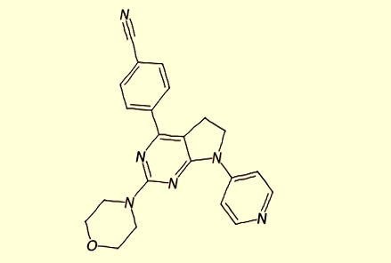 N#Cc1ccc(-c2nc(N3CCOCC3)nc3c2CCN3c2ccncc2)cc1